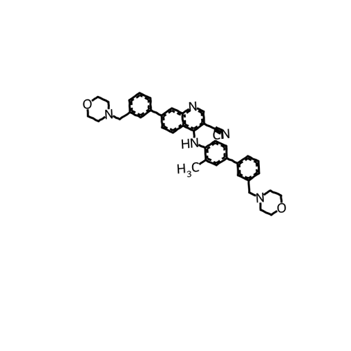 Cc1cc(-c2cccc(CN3CCOCC3)c2)cc(Cl)c1Nc1c(C#N)cnc2cc(-c3cccc(CN4CCOCC4)c3)ccc12